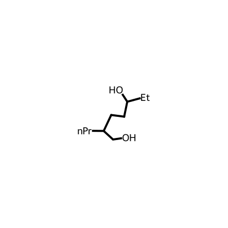 CCCC(CO)CCC(O)CC